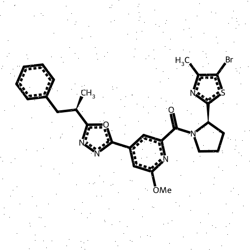 COc1cc(-c2nnc([C@H](C)Cc3ccccc3)o2)cc(C(=O)N2CCC[C@@H]2c2nc(C)c(Br)s2)n1